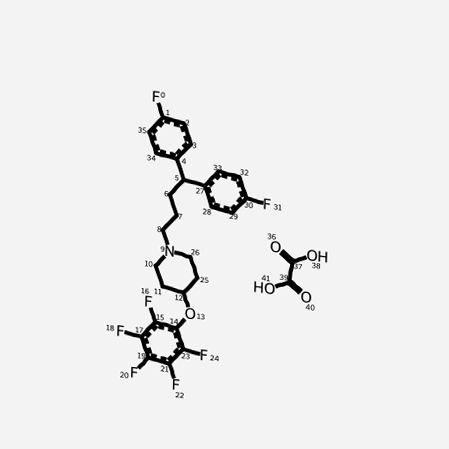 Fc1ccc(C(CCCN2CCC(Oc3c(F)c(F)c(F)c(F)c3F)CC2)c2ccc(F)cc2)cc1.O=C(O)C(=O)O